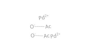 CC(=O)[O-].CC(=O)[O-].[Pd+2].[Pd+2]